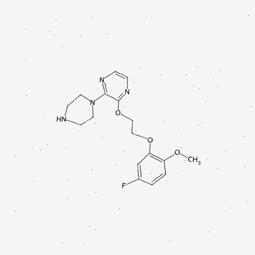 COc1ccc(F)cc1OCCOc1nccnc1N1CCNCC1